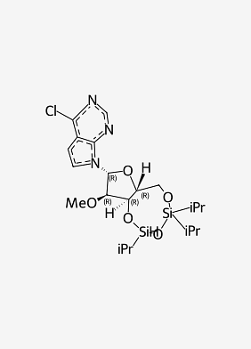 CO[C@@H]1[C@@H]2O[SiH](C(C)C)O[Si](C(C)C)(C(C)C)OC[C@H]2O[C@H]1n1ccc2c(Cl)ncnc21